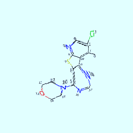 Cc1c(Cl)cnc2sc3c(N4CCOCC4)ncnc3c12